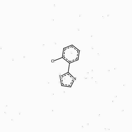 Clc1cc[c]cc1-c1nccs1